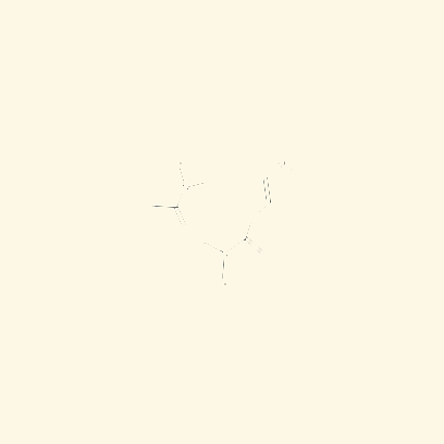 C=COC(=O)N(S)S.O=C(O)N(S)S.[MgH2]